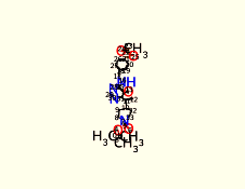 CC(C)(C)OC(=O)N1CCC(c2coc3c(NCc4ccc(S(C)(=O)=O)cc4)ncnc23)CC1